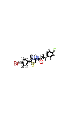 O=C(CCc1ccc(F)cc1)Nc1csc(-c2ccc(Br)cc2)c1C(=O)O